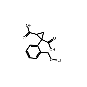 COCc1ccccc1C1(C(=O)O)CC1C(=O)O